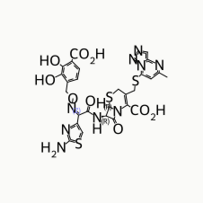 Cc1cc(SCC2=C(C(=O)O)N3C(=O)[C@@H](NC(=O)/C(=N\OCc4ccc(C(=O)O)c(O)c4O)c4csc(N)n4)[C@H]3SC2)n2nncc2n1